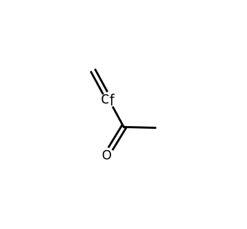 [CH2]=[Cf][C](C)=O